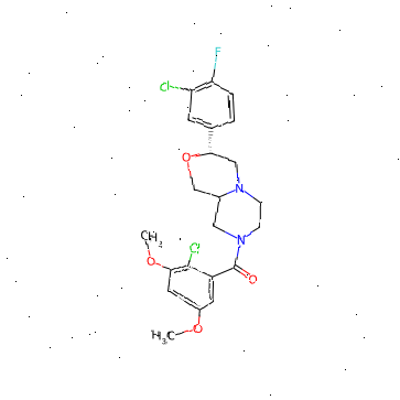 COc1cc(OC)c(Cl)c(C(=O)N2CCN3C[C@@H](c4ccc(F)c(Cl)c4)OCC3C2)c1